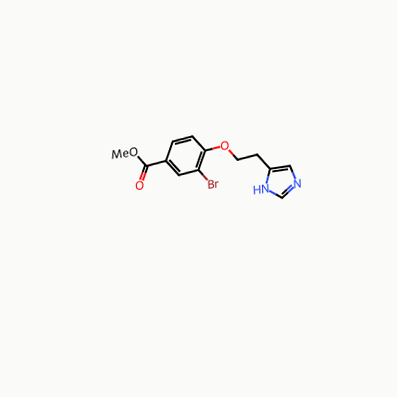 COC(=O)c1ccc(OCCc2cnc[nH]2)c(Br)c1